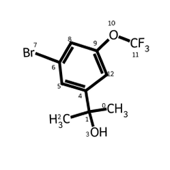 CC(C)(O)c1cc(Br)cc(OC(F)(F)F)c1